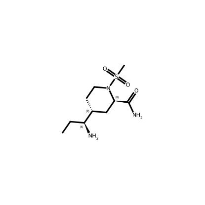 CC[C@H](N)[C@@H]1CCN(S(C)(=O)=O)[C@@H](C(N)=O)C1